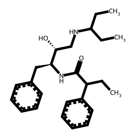 CCC(CC)NC[C@@H](O)[C@H](Cc1ccccc1)NC(=O)C(CC)c1ccccc1